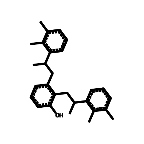 Cc1cccc(C(C)Cc2cccc(O)c2CC(C)c2cccc(C)c2C)c1C